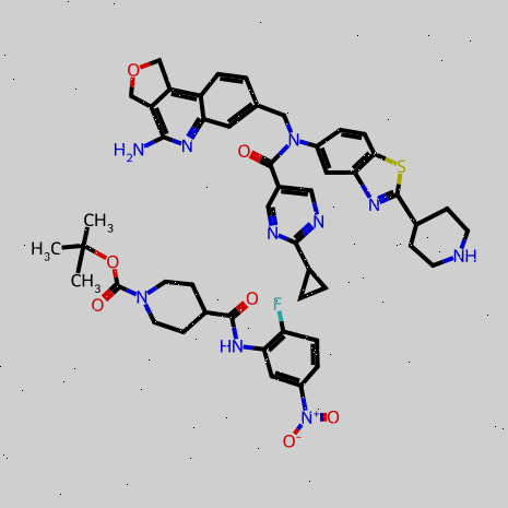 CC(C)(C)OC(=O)N1CCC(C(=O)Nc2cc([N+](=O)[O-])ccc2F)CC1.Nc1nc2cc(CN(C(=O)c3cnc(C4CC4)nc3)c3ccc4sc(C5CCNCC5)nc4c3)ccc2c2c1COC2